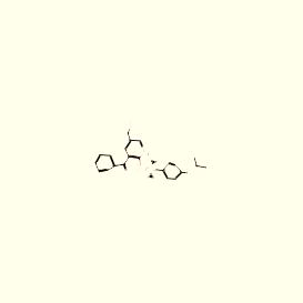 CC(C)Oc1ccc(S(=O)(=O)Nc2ncc(CF)cc2C(=O)c2ccccc2)cc1